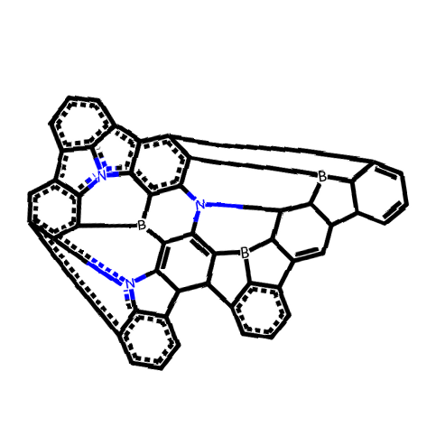 C1=CC2C3B4c5c6c7c8c(c5C3=C1)c1cccc3c5cc9c%10cccc%11c%10n%10c9c(c5n8c31)B7C1=C%10C%11C3C5=C1N6C1C6B5c5c(cccc53)C6=CC2C41